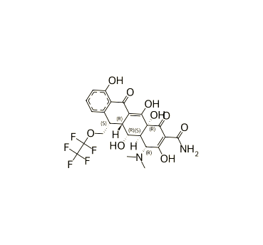 CN(C)[C@H]1C(O)=C(C(N)=O)C(=O)[C@]2(O)C(O)=C3C(=O)c4c(O)cccc4[C@@H](COC(F)(F)C(F)(F)F)[C@H]3[C@@H](O)[C@H]12